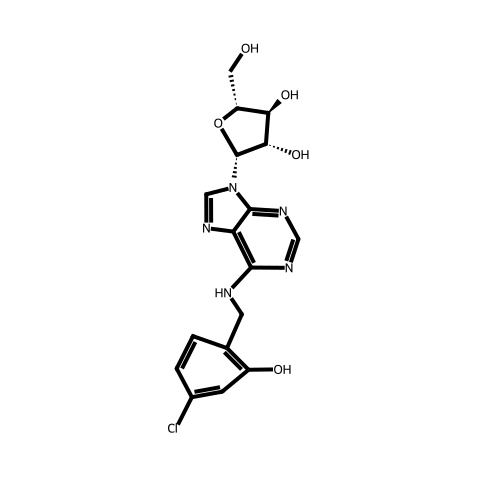 OC[C@H]1O[C@@H](n2cnc3c(NCc4ccc(Cl)cc4O)ncnc32)[C@@H](O)[C@@H]1O